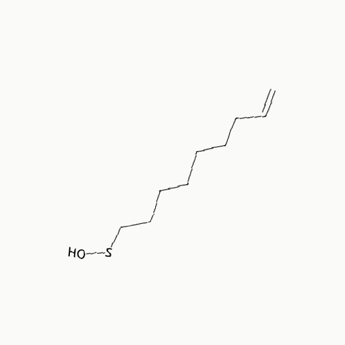 C=CCCCCCCCSO